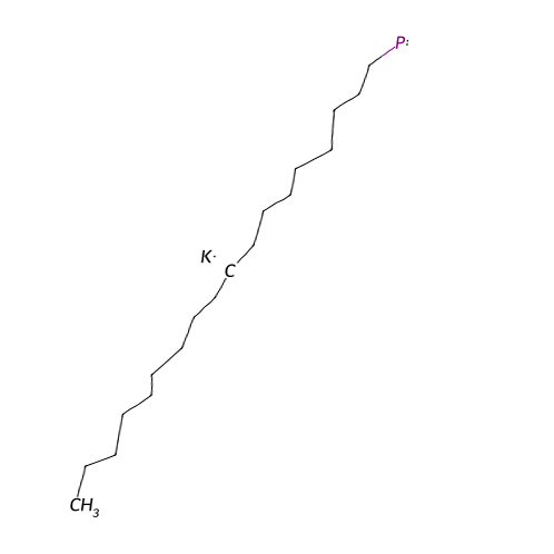 CCCCCCCCCCCCCCCCCC[P].[K]